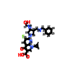 O=C(O)c1cn(C2CC2)c2nc(N3C/C(=N\CO)C(CN=Cc4ccccc4)C3)c(F)cc2c1=O